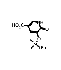 CC(C)(C)[Si](C)(C)Oc1cc(C(=O)O)c[nH]c1=O